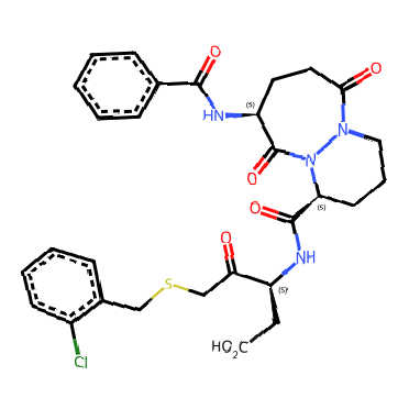 O=C(O)C[C@H](NC(=O)[C@@H]1CCCN2C(=O)CC[C@H](NC(=O)c3ccccc3)C(=O)N12)C(=O)CSCc1ccccc1Cl